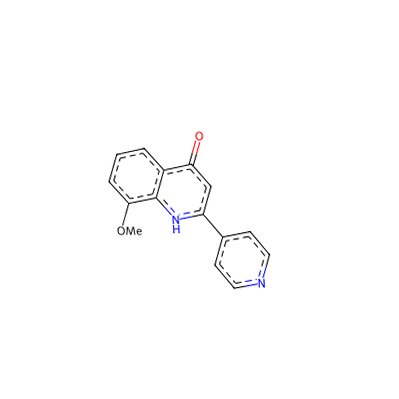 COc1cccc2c(=O)cc(-c3ccncc3)[nH]c12